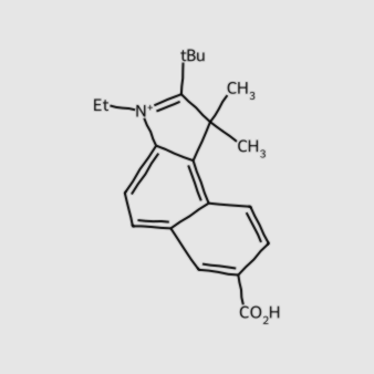 CC[N+]1=C(C(C)(C)C)C(C)(C)c2c1ccc1cc(C(=O)O)ccc21